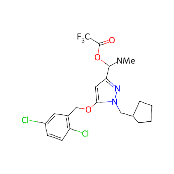 CNC(OC(=O)C(F)(F)F)c1cc(OCc2cc(Cl)ccc2Cl)n(CC2CCCC2)n1